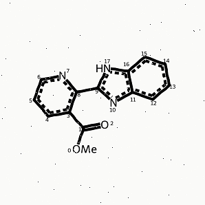 COC(=O)c1cccnc1-c1nc2ccccc2[nH]1